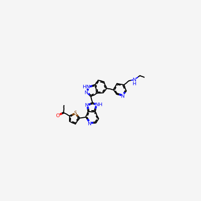 CCNCc1cncc(-c2ccc3[nH]nc(-c4nc5c(-c6ccc(C(C)=O)s6)nccc5[nH]4)c3c2)c1